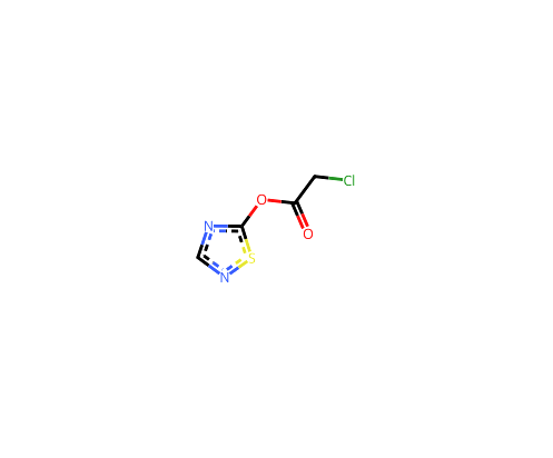 O=C(CCl)Oc1ncns1